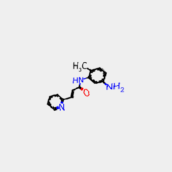 Cc1ccc(N)cc1NC(=O)C=Cc1ccccn1